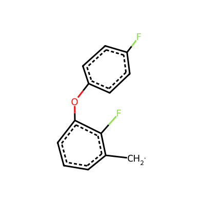 [CH2]c1cccc(Oc2ccc(F)cc2)c1F